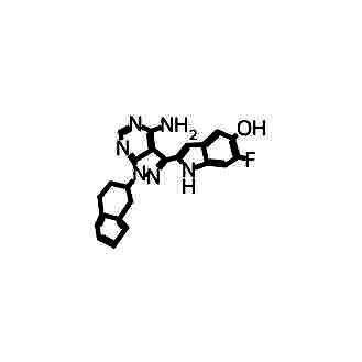 Nc1ncnc2c1c(-c1cc3cc(O)c(F)cc3[nH]1)nn2C1CCc2ccccc2C1